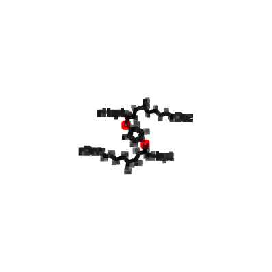 CCCCCCCCCCCCCCC(C)CCC(CCCCCCC)Oc1ccc(OC(CCCCCCC)CCC(C)CCCCCCCCCCCCCC)cc1